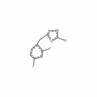 CCc1nnc(Cc2ccc(F)cc2F)o1